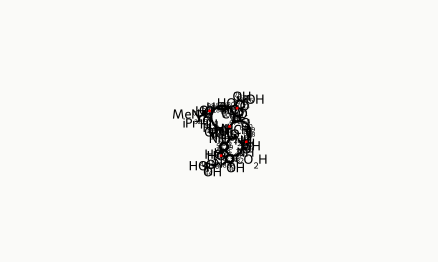 CN[C@H](CC(C)C)C(=O)N[C@H]1C(=O)N[C@@H](CC(N)=O)C(=O)N[C@H]2C(=O)NC3C(=O)N[C@H](C(=O)N[C@H](C(=O)O)c4cc(O)c(CNCOP(O)O)c(O)c4-c4cc3ccc4O)[C@H](O)c3ccc(c(Cl)c3)Oc3cc2cc(c3OC2OC(CO)C(O)C(O)C2O)Oc2ccc(cc2Cl)[C@H]1O